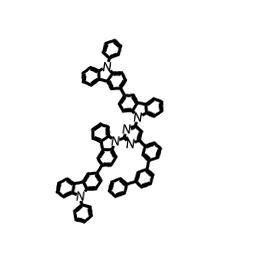 c1ccc(-c2cccc(-c3cccc(-c4cc(-n5c6ccccc6c6cc(-c7ccc8c(c7)c7ccccc7n8-c7ccccc7)ccc65)nc(-n5c6ccccc6c6cc(-c7ccc8c(c7)c7ccccc7n8-c7ccccc7)ccc65)n4)c3)c2)cc1